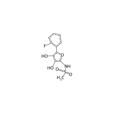 CS(=O)(=O)Nc1oc(-c2ccccc2F)c(O)c1O